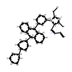 C=C/C=C\c1c(C)nc(CC)n1-c1cccc(-c2c3ccccc3c(-c3ccc(-c4ccccc4)cc3)c3ccccc23)c1